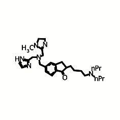 CCCN(CCC)CCCCC1Cc2cc(CN(CC3=NCCN3C)Cc3ncc[nH]3)ccc2C1=O